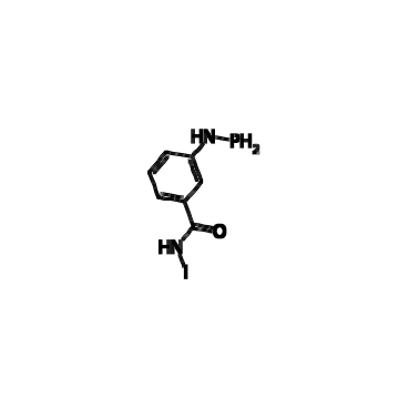 O=C(NI)c1cccc(NP)c1